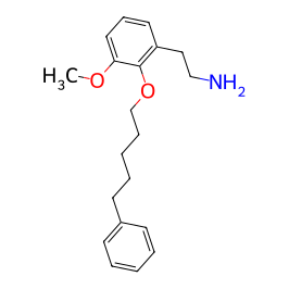 COc1cccc(CCN)c1OCCCCCc1ccccc1